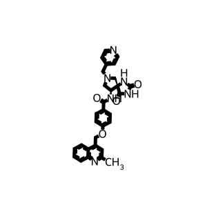 Cc1cc(COc2ccc(C(=O)N[C@H]3CN(Cc4ccncc4)C[C@]34NC(=O)NC4=O)cc2)c2ccccc2n1